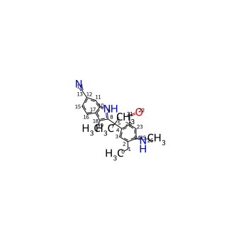 CCc1cc(C(C)(C)c2[nH]c3cc(C#N)ccc3c2C)c(C=O)cc1NC